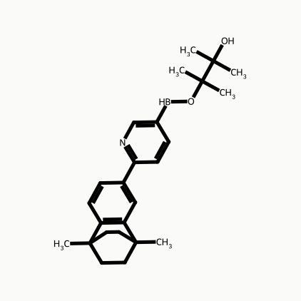 CC12CCC(C)(CC1)c1cc(-c3ccc(BOC(C)(C)C(C)(C)O)cn3)ccc12